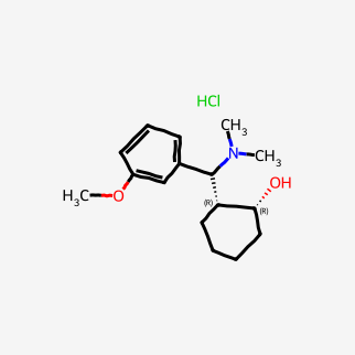 COc1cccc(C([C@H]2CCCC[C@H]2O)N(C)C)c1.Cl